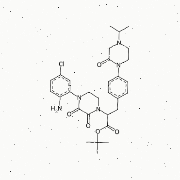 CC(C)N1CCN(c2ccc(CC(C(=O)OC(C)(C)C)N3CCN(c4cc(Cl)ccc4N)C(=O)C3=O)cc2)C(=O)C1